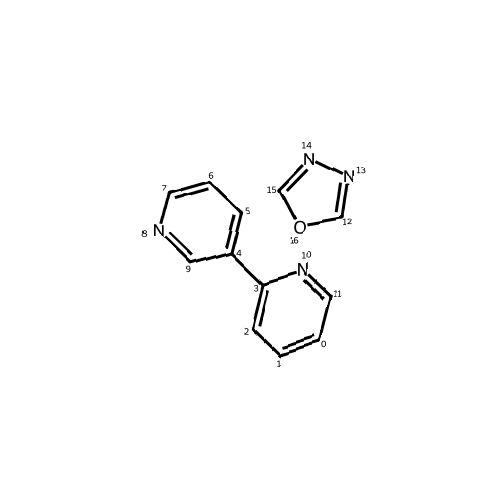 c1ccc(-c2cccnc2)nc1.c1nnco1